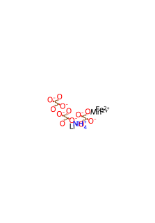 O=S(=O)([O-])[O-].O=S(=O)([O-])[O-].O=S(=O)([O-])[O-].[Fe+2].[Li+].[Mn+2].[NH4+]